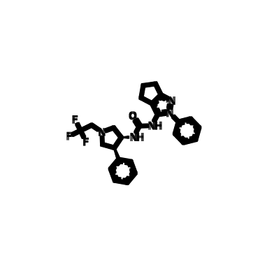 O=C(Nc1c2c(nn1-c1ccccc1)CCC2)N[C@H]1CN(CC(F)(F)F)C[C@@H]1c1ccccc1